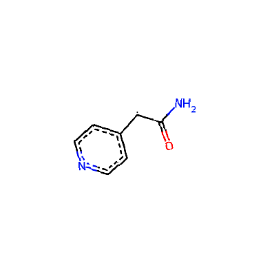 NC(=O)[CH]c1ccncc1